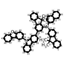 CC1(C)c2ccccc2-c2ccc(N(c3ccc4ccccc4c3)c3cc(-c4ccc5c6ccccc6n(-c6ccc7oc8ccccc8c7c6)c5c4)cc4c3C(C)(C)c3ccccc3-4)cc21